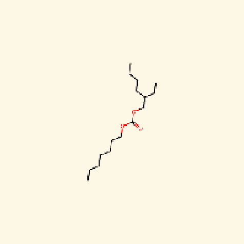 CCCCCCCOC(=O)OCC(CC)CCCC